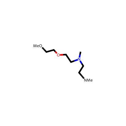 CNCCN(C)CCOCCOC